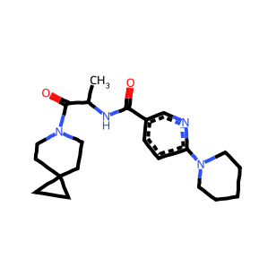 CC(NC(=O)c1ccc(N2CCCCC2)nc1)C(=O)N1CCC2(CC1)CC2